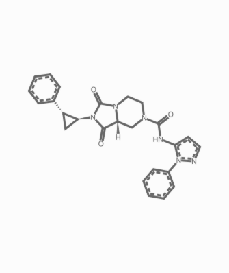 O=C(Nc1ccnn1-c1ccccc1)N1CCN2C(=O)N([C@H]3C[C@@H]3c3ccccc3)C(=O)[C@H]2C1